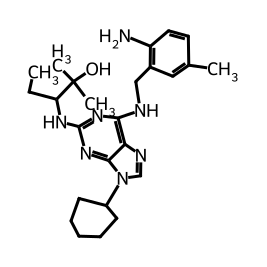 CCC(Nc1nc(NCc2cc(C)ccc2N)c2ncn(C3CCCCC3)c2n1)C(C)(C)O